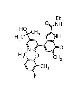 CCNC(=O)c1cc2c(-c3cc(C(C)(C)O)cnc3Oc3c(C)ccc(F)c3C)cn(C)c(=O)c2[nH]1